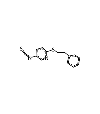 S=C=Nc1ccc(SCCc2ccccc2)nc1